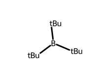 CC(C)(C)B(C(C)(C)C)C(C)(C)C